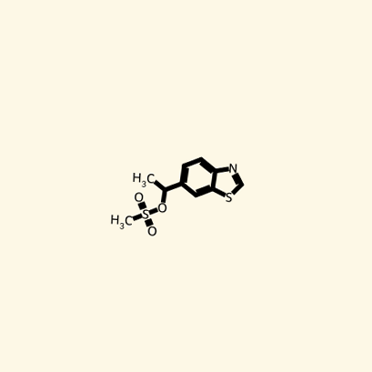 CC(OS(C)(=O)=O)c1ccc2ncsc2c1